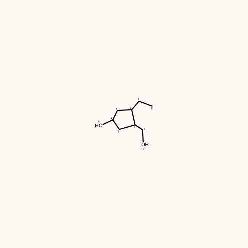 CCC1CC(O)CC1CO